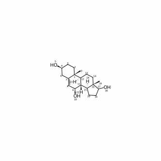 C[C@]12CC[C@H](O)CC1=C[C@H](O)[C@@H]1[C@@H]2CC[C@]2(C)C(O)CC[C@@H]12